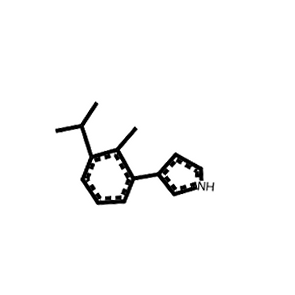 Cc1c(-c2cc[nH]c2)cccc1C(C)C